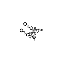 CC1(O)CCC(C(=O)NO)N(S(=O)(=O)c2ccc(OCc3ccccc3)cc2)C1.CC12CCC(C(=O)O1)N(S(=O)(=O)c1ccc(OCc3ccccc3)cc1)C2